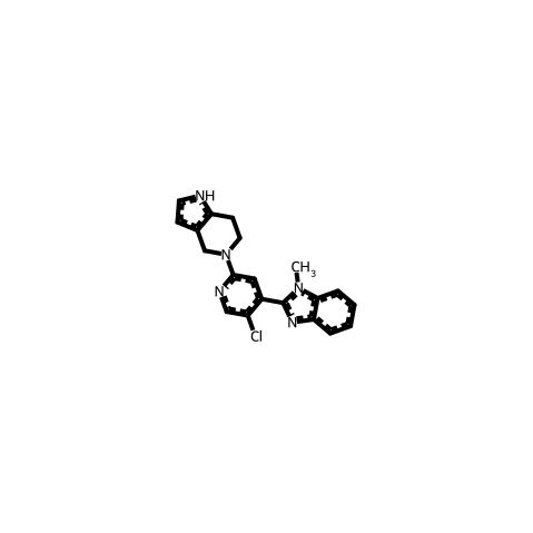 Cn1c(-c2cc(N3CCc4[nH]ccc4C3)ncc2Cl)nc2ccccc21